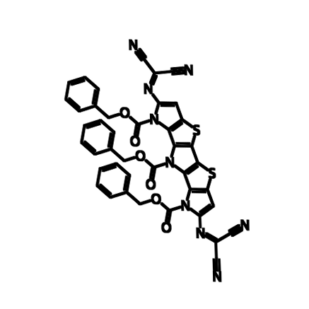 N#CC(C#N)=Nc1cc2sc3c4sc5cc(N=C(C#N)C#N)n(C(=O)OCc6ccccc6)c5c4n(C(=O)OCc4ccccc4)c3c2n1C(=O)OCc1ccccc1